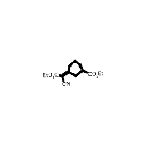 CCOC(=O)C(C#N)=C1CCCC(C(=O)OCC)C1